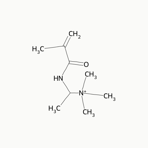 C=C(C)C(=O)NC(C)[N+](C)(C)C